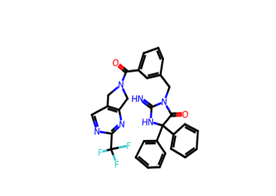 N=C1NC(c2ccccc2)(c2ccccc2)C(=O)N1Cc1cccc(C(=O)N2Cc3cnc(C(F)(F)F)nc3C2)c1